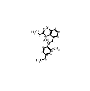 CCC(=O)N(O)c1c(F)cccc1COc1ccc(CC)cc1C